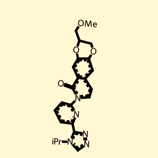 COCC1COc2cc3ccn(-c4cccc(-c5nncn5C(C)C)n4)c(=O)c3cc2O1